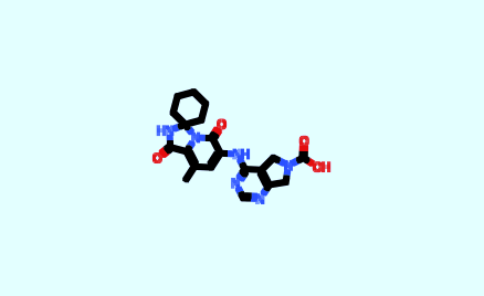 Cc1cc(Nc2ncnc3c2CN(C(=O)O)C3)c(=O)n2c1C(=O)NC21CCCCC1